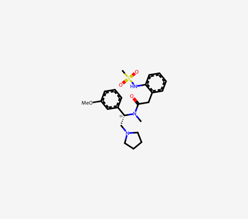 COc1cccc([C@@H](CN2CCCC2)N(C)C(=O)Cc2ccccc2NS(C)(=O)=O)c1